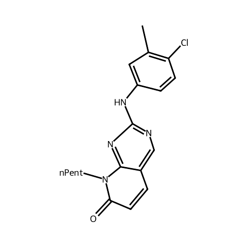 CCCCCn1c(=O)ccc2cnc(Nc3ccc(Cl)c(C)c3)nc21